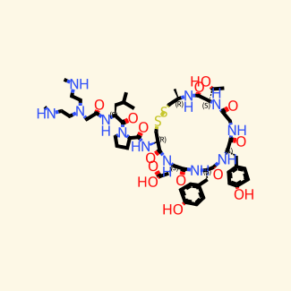 CNCCN(CCNC)CC(=O)N[C@@H](CC(C)C)C(=O)N1CCCC1C(=O)N[C@H]1CSSC[C@@H](C)NC(=O)[C@H](C(C)O)NC(=O)CNC(=O)[C@H](Cc2ccc(O)cc2)NC(=O)[C@H](Cc2ccc(O)cc2)NC(=O)[C@H](CC(=O)O)NC1=O